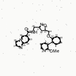 COc1ncccc1-c1ccccc1OCC1CC(CNC(=O)c2ccc3nccn3c2)=NO1